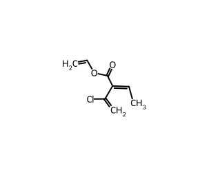 C=COC(=O)C(=CC)C(=C)Cl